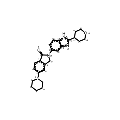 O=C1c2ccc(N3CCCCC3)cc2CN1c1ccc2[nH]c(C3CCOCC3)nc2c1